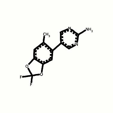 Cc1cc2c(cc1-c1cnc(N)nc1)OC(F)(F)O2